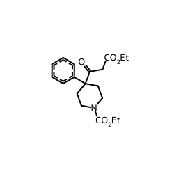 CCOC(=O)CC(=O)C1(c2ccccc2)CCN(C(=O)OCC)CC1